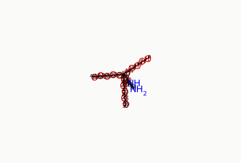 COCCOCCOCCOCCOCC(COCCOCCOCCOCCOC)(COCCOCCOCCOCCOC)COCC(=O)NCCN